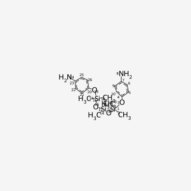 C[Si](C)(Oc1ccc(N)cc1)O[Si](C)(C)O[Si](C)(C)Oc1ccc(N)cc1